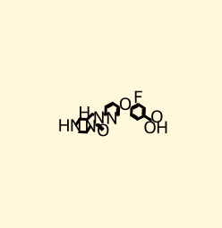 O=C(O)c1ccc(Oc2ccc(N3C[C@@H]4CNCCN4C3=O)nc2)c(F)c1